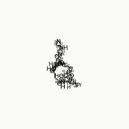 C/C1=C/C=C/C(C)[C@H](O)[C@@H](C)C(O)[C@@H](C)[C@H](OC(=O)CC(=O)N2CCC(Nc3cccnc3)CC2)CC/C=C/O[C@@]2(C)Oc3c(C)c(O)c4c(c3C2=O)C2=NC3(CCN(CC(C)C)CC3)NC2=C(NC1=O)C4=O